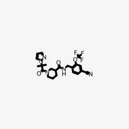 CC(C)(C(=O)N1CCCC(C(=O)NCc2ccc(C#N)cc2OC(F)(F)F)C1)n1cccn1